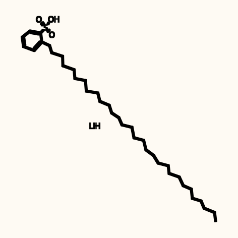 CCCCCCCCCCCCCCCCCCCCCCCCCCCCCCc1ccccc1S(=O)(=O)O.[LiH]